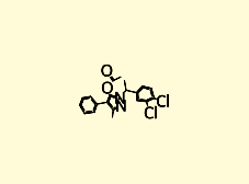 CC(=O)Oc1c(-c2ccccc2)c(C)nn1C(C)c1ccc(Cl)c(Cl)c1